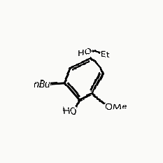 CCCCc1cccc(OC)c1O.CCO